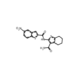 NC(=O)c1c(NC(=O)c2cc3cc([N+](=O)[O-])ccc3s2)sc2c1CCCC2